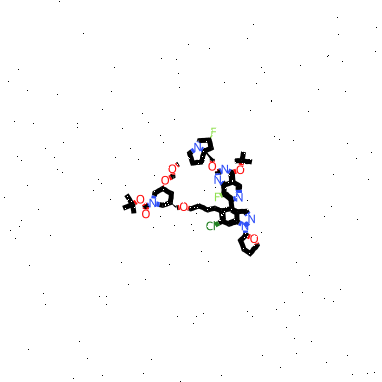 COCO[C@@H]1C[C@H](COCCCCc2c(Cl)cc3c(cnn3C3CCCCO3)c2-c2ncc3c(OC(C)(C)C)nc(OC[C@@]45CCCN4C[C@H](F)C5)nc3c2F)CN(C(=O)OC(C)(C)C)C1